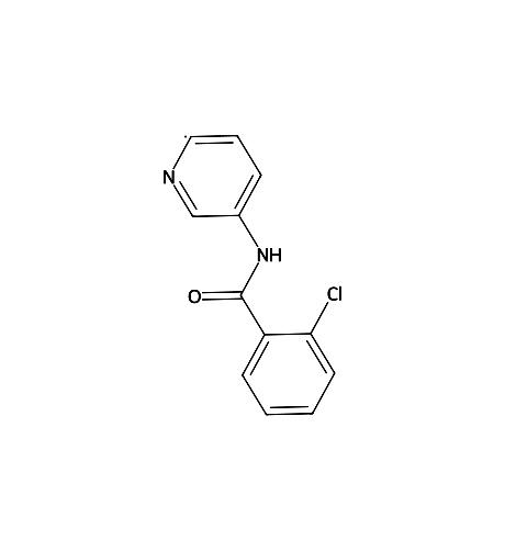 O=C(Nc1cc[c]nc1)c1ccccc1Cl